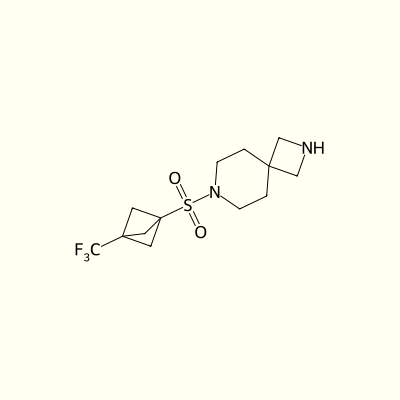 O=S(=O)(N1CCC2(CC1)CNC2)C12CC(C(F)(F)F)(C1)C2